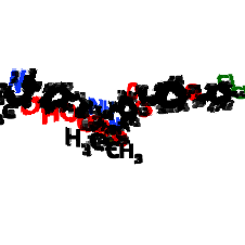 Cc1nccc(Oc2ccc(C[C@H](NC(=O)[C@@H]3Cc4cc5c(cc4CN3S(=O)(=O)C(C)C)O[C@@H](c3ccc(OCc4ccc(Cl)c(Cl)c4)cc3)CO5)C(=O)O)cc2)c1C